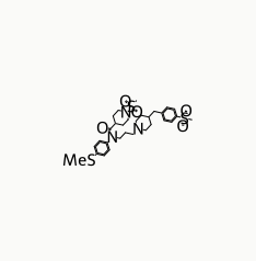 CSc1ccc(N(CCCN2CCC(Cc3ccc(S(C)(=O)=O)cc3)CC2)C(=O)C2CCN(S(C)(=O)=O)CC2)cc1